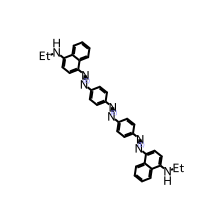 CCNc1ccc(/N=N/c2ccc(/N=N/c3ccc(/N=N/c4ccc(NCC)c5ccccc45)cc3)cc2)c2ccccc12